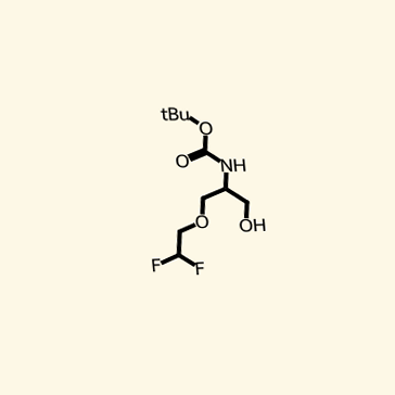 CC(C)(C)OC(=O)NC(CO)COCC(F)F